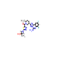 C[C@H]1CC[C@@H](c2nc3c4cc(F)cc(F)c4nc(N)n3n2)CN1C(=O)c1nnc(N2CC(C)(O)C2)s1